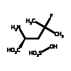 CC(C)(F)C[C@H](N)C(=O)O.O=S(=O)(O)O